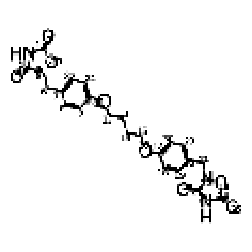 O=c1[nH]c(=O)n(Cc2ccc(OCCCCOc3ccc(Cn4oc(=O)[nH]c4=O)cc3)cc2)o1